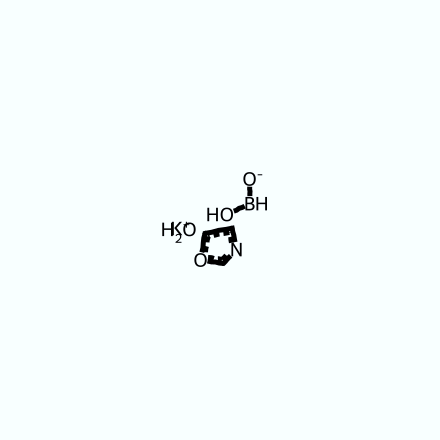 O.[K+].[O-]BO.c1cocn1